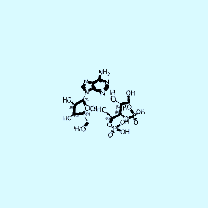 Nc1ncnc2c1ncn2[C@@H]1O[C@H](CO)[C@@H](O)[C@H]1O.O=C[C@H](OP(=O)(O)O)[C@H](OP(=O)(O)O)[C@H](O)CO